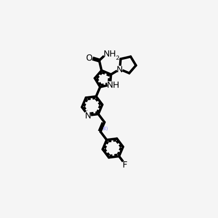 NC(=O)c1cc(-c2ccnc(/C=C/c3ccc(F)cc3)c2)[nH]c1N1CCCC1